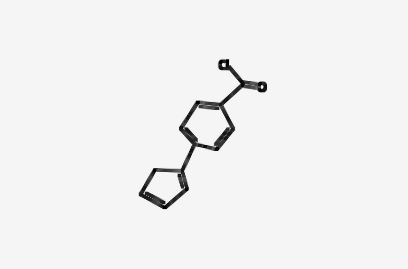 O=C(Cl)c1ccc(C2=CC=CC2)cc1